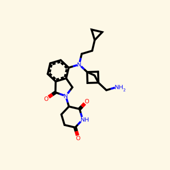 NCC12CC(N(CCC3CC3)c3cccc4c3CN(C3CCC(=O)NC3=O)C4=O)(C1)C2